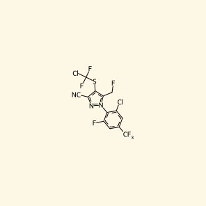 N#Cc1nn(-c2c(F)cc(C(F)(F)F)cc2Cl)c(CF)c1SC(F)(F)Cl